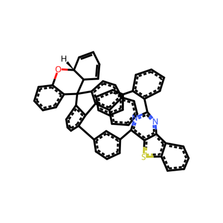 C1=CC2[C@@H](C=C1)Oc1ccccc1C21c2cccc(-c3cccc(-c4nc(-c5ccccc5-c5ccccc5)nc5c4sc4ccccc45)c3)c2-c2c1ccc1ccccc21